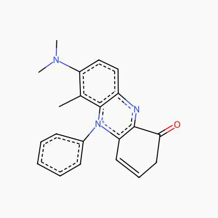 Cc1c(N(C)C)ccc2nc3c([n+](-c4ccccc4)c12)C=CCC3=O